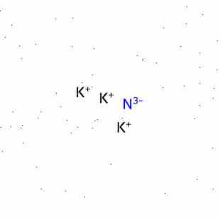 [K+].[K+].[K+].[N-3]